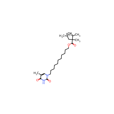 Cc1cn(CCCCCCCCCCCOC(=O)C(C)(CC(C)C)C(C)C)c(=O)[nH]c1=O